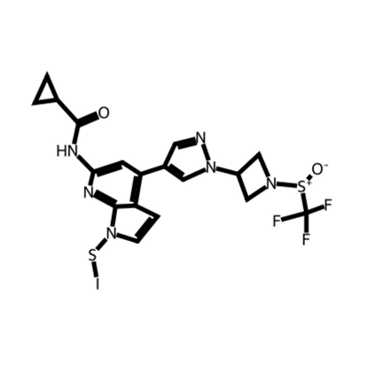 O=C(Nc1cc(-c2cnn(C3CN([S+]([O-])C(F)(F)F)C3)c2)c2ccn(SI)c2n1)C1CC1